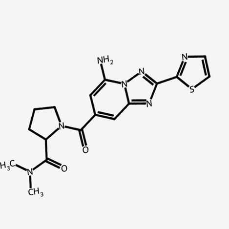 CN(C)C(=O)C1CCCN1C(=O)c1cc(N)n2nc(-c3nccs3)nc2c1